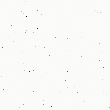 COc1ccc(N2CCN(Cc3nc(-c4ccc(C(F)(F)F)cc4)sc3CSc3ccc(OC(C)(C)C(=O)O)cc3)CC2)cc1